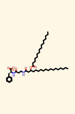 CCCCCCCCCCCCCCCC(=O)OC(CCCCCCCCCCCCCCC)CC(=O)NCCC(=O)N[C@@H](Cc1ccccc1)C(=O)O